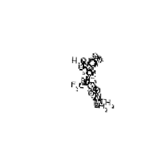 Cc1nc(S(=O)(=O)N2CCc3c(c(C(F)(F)F)nn3-c3cccc(C(=O)N(C)c4ccc5c(c4)OCO5)c3)C2)cn1C